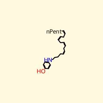 CCCCC/C=C\C/C=C\C/C=C\C/C=C\CCCCNc1ccc(O)cc1